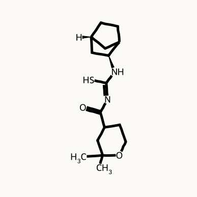 CC1(C)CC(C(=O)/N=C(\S)N[C@H]2C[C@@H]3CCC2C3)CCO1